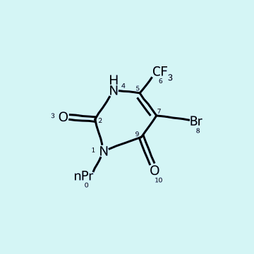 CCCn1c(=O)[nH]c(C(F)(F)F)c(Br)c1=O